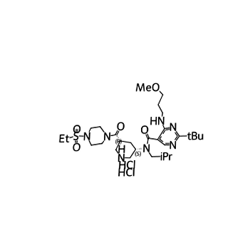 CCS(=O)(=O)N1CCN(C(=O)[C@H]2CNC[C@@H](N(CC(C)C)C(=O)c3cnc(C(C)(C)C)nc3NCCCOC)C2)CC1.Cl.Cl